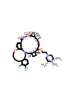 C[C@@H]1[C@@H](C)S(=O)(=O)NC(=O)c2ccc3c(c2)N(Cc2ccc(Cl)c(F)c2CCCCO3)C[C@@H]2CC[C@H]2[C@@H](OCCN2C[C@@H](C)N(C)[C@@H](C)C2)C2=C[C@H]1C2